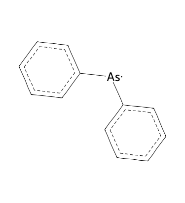 c1ccc([As]c2ccccc2)cc1